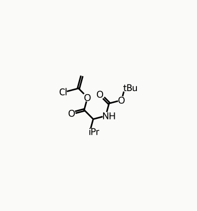 C=C(Cl)OC(=O)C(NC(=O)OC(C)(C)C)C(C)C